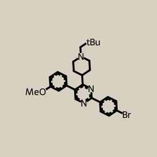 COc1cccc(-c2cnc(-c3ccc(Br)cc3)nc2C2CCN(CC(C)(C)C)CC2)c1